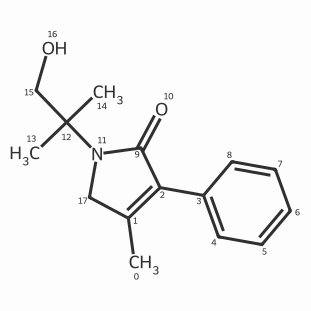 CC1=C(c2ccccc2)C(=O)N(C(C)(C)CO)C1